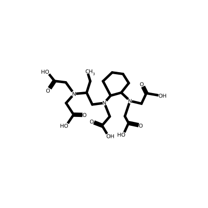 CCC(CN(CC(=O)O)C1CCCCC1N(CC(=O)O)CC(=O)O)N(CC(=O)O)CC(=O)O